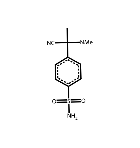 CNC(C)(C#N)c1ccc(S(N)(=O)=O)cc1